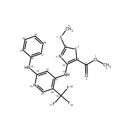 COC(=O)c1sc(SC)nc1Nc1cc(Nc2ccccc2)ncc1C(F)(F)F